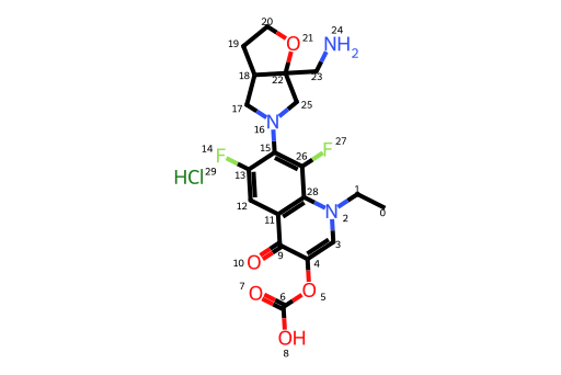 CCn1cc(OC(=O)O)c(=O)c2cc(F)c(N3CC4CCOC4(CN)C3)c(F)c21.Cl